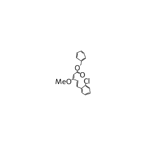 COC(/C=C/c1ccccc1Cl)=C/C(=O)OCc1ccccc1